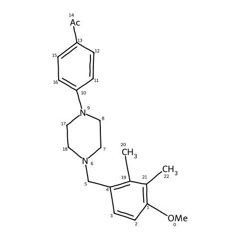 COc1ccc(CN2CCN(c3ccc(C(C)=O)cc3)CC2)c(C)c1C